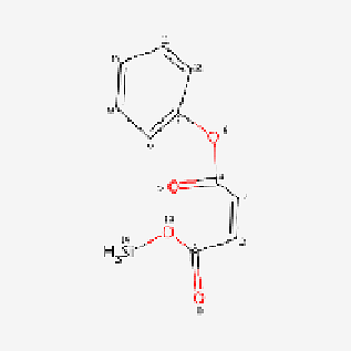 O=C(/C=C\C(=O)Oc1ccccc1)O[SiH3]